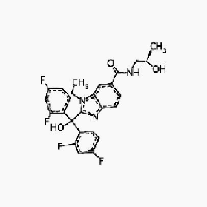 CCn1c(C(O)(c2ccc(F)cc2F)c2ccc(F)cc2F)nc2ccc(C(=O)NC[C@@H](C)O)cc21